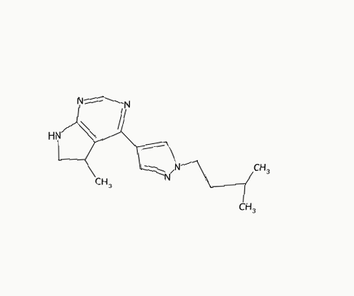 CC(C)CCn1cc(-c2ncnc3c2C(C)CN3)cn1